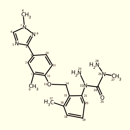 Cc1cc(-c2ncn(C)n2)ccc1OCc1c(C)cccc1N(N)C(=O)N(C)N